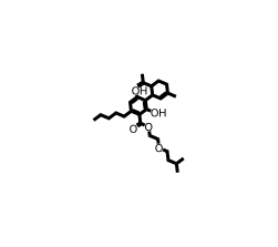 C=C(C)C1CCC(C)=CC1c1c(O)cc(CCCCC)c(C(=O)OCCOCCC(C)C)c1O